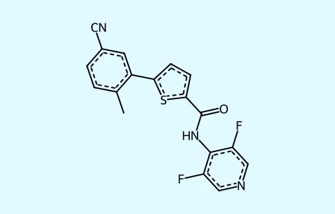 Cc1ccc(C#N)cc1-c1ccc(C(=O)Nc2c(F)cncc2F)s1